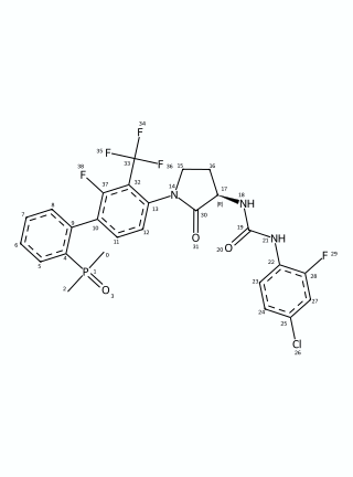 CP(C)(=O)c1ccccc1-c1ccc(N2CC[C@@H](NC(=O)Nc3ccc(Cl)cc3F)C2=O)c(C(F)(F)F)c1F